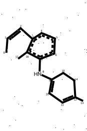 C/C=C\c1cccc(NC2=CC=C(C)CC2)c1C